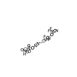 O=C1CCC(N2C(=O)c3ccc(N4CCN(CCC5CCN(c6nnc(-c7ccc8c9cnccc9n(C(F)F)c8c7)cc6F)CC5)CC4)cc3C2=O)C(=O)N1